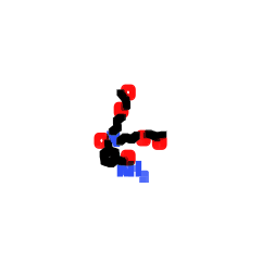 NC(=O)c1cccc(C(=O)N(CCCCOCC2CO2)CCCCOCC2CO2)c1